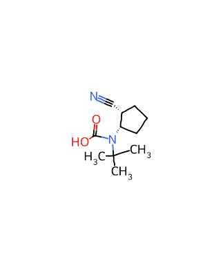 CC(C)(C)N(C(=O)O)[C@H]1CCC[C@H]1C#N